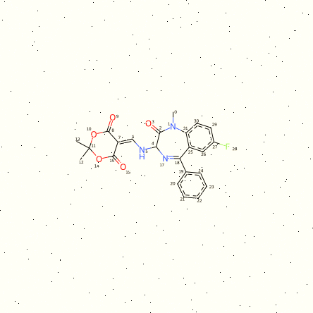 CN1C(=O)C(NC=C2C(=O)OC(C)(C)OC2=O)N=C(c2ccccc2)c2cc(F)ccc21